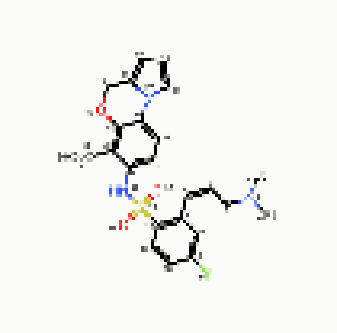 CCN(CC)C/C=C\c1cc(F)ccc1S(=O)(=O)Nc1ccc2c(c1C(=O)O)OCc1cccn1-2